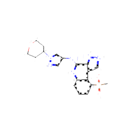 CS(=O)(=O)c1cccc2nc(Nc3cnn(C4CCOCC4)c3)c3[nH]ncc3c12